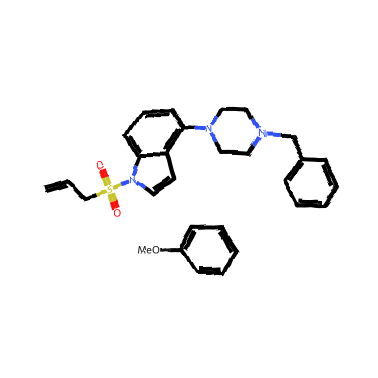 C=CCS(=O)(=O)n1ccc2c(N3CCN(Cc4ccccc4)CC3)cccc21.COc1ccccc1